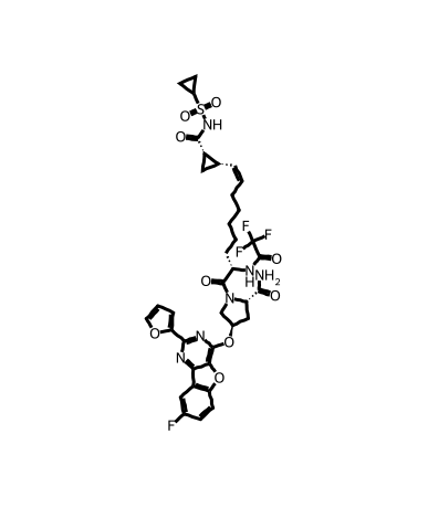 NC(=O)[C@@H]1C[C@@H](Oc2nc(-c3ccco3)nc3c2oc2ccc(F)cc23)CN1C(=O)[C@H](CCCCC/C=C\[C@@H]1C[C@@H]1C(=O)NS(=O)(=O)C1CC1)NC(=O)C(F)(F)F